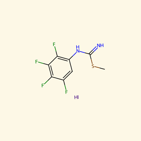 CSC(=N)Nc1cc(F)c(F)c(F)c1F.I